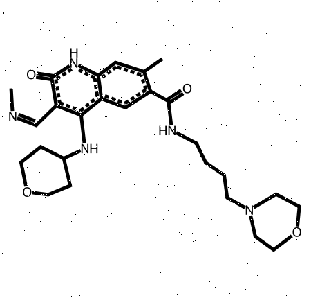 C/N=C\c1c(NC2CCOCC2)c2cc(C(=O)NCCCCN3CCOCC3)c(C)cc2[nH]c1=O